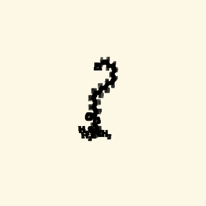 CC/C=C\C/C=C\C/C=C\CCCC/C=C\CCCC(=O)OCC[N+](C)(C)C